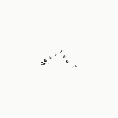 [Br-].[Br-].[Br-].[Br-].[Br-].[Br-].[Ce+3].[La+3]